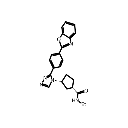 CCNC(=O)[C@H]1CC[C@@H](n2cnnc2-c2ccc(-c3nc4ccccc4o3)cc2)C1